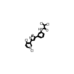 O=C(Nc1cccc(-c2cc(C3=C(Cl)C=CN(Cl)C3)no2)c1)C(Cl)Cl